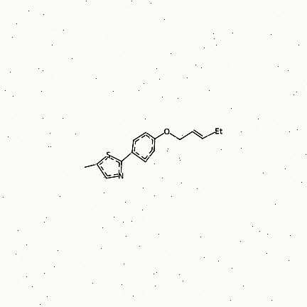 CCC=CCOc1ccc(-c2ncc(C)s2)cc1